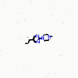 CC[C@H](C)c1cnc(N2CCN(C)CC2)nc1